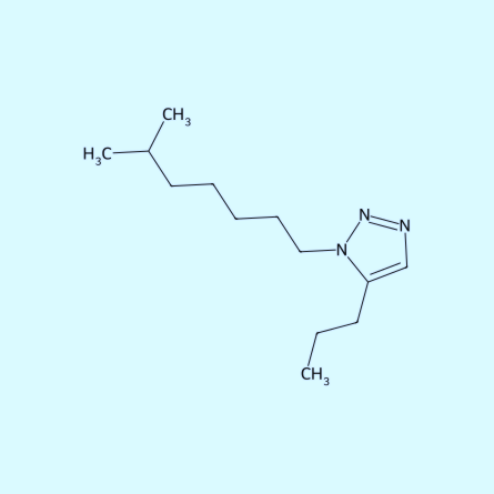 CCCc1cnnn1CCCCCC(C)C